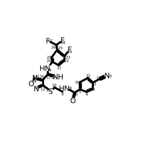 N#Cc1ccc(C(=O)NCCSc2nonc2C(=N)Nc2ccc(F)c(C(F)F)c2)cc1